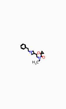 CCN1CC(C2CN(CCc3ccccc3)C2)OC2(CC2)C1=O